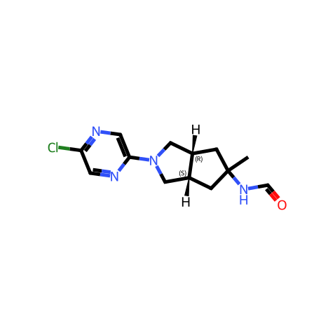 CC1(NC=O)C[C@H]2CN(c3cnc(Cl)cn3)C[C@H]2C1